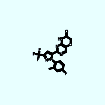 Cc1cc(F)ccc1-n1nc(C(F)(F)F)cc1-c1ncc2c(n1)NC(=O)CO2